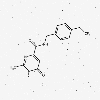 Cc1nc(C(=O)NCc2ccc(CC(F)(F)F)cc2)cc(=O)[nH]1